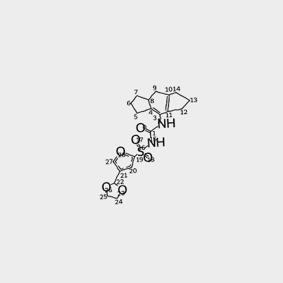 O=C(NC1=C2CCCC2CC2=C1CCC2)NS(=O)(=O)c1cc(C2OCCO2)co1